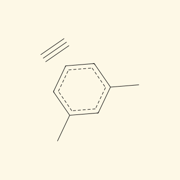 C#C.Cc1cccc(C)c1